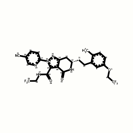 Cc1ccc(OCC(F)(F)F)cc1CC[C@H]1Cc2nn(-c3ccc(C#N)cn3)c(C(=O)NCC(F)(F)F)c2C(=O)N1